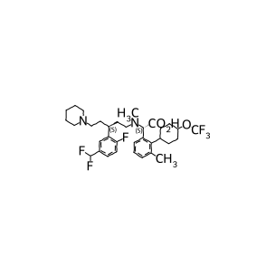 Cc1cccc([C@@H](C(=O)O)N(C)CC[C@H](CCN2CCCCC2)c2cc(C(F)F)ccc2F)c1C1CCC(OC(F)(F)F)CC1